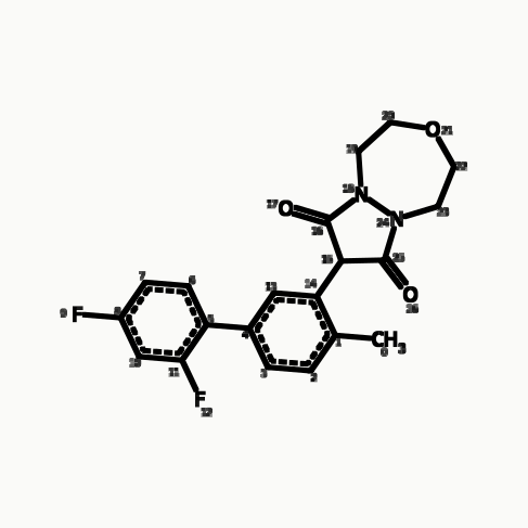 Cc1ccc(-c2ccc(F)cc2F)cc1C1C(=O)N2CCOCCN2C1=O